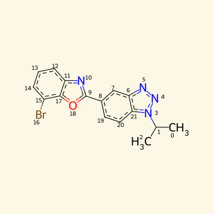 CC(C)n1nnc2cc(-c3nc4cccc(Br)c4o3)ccc21